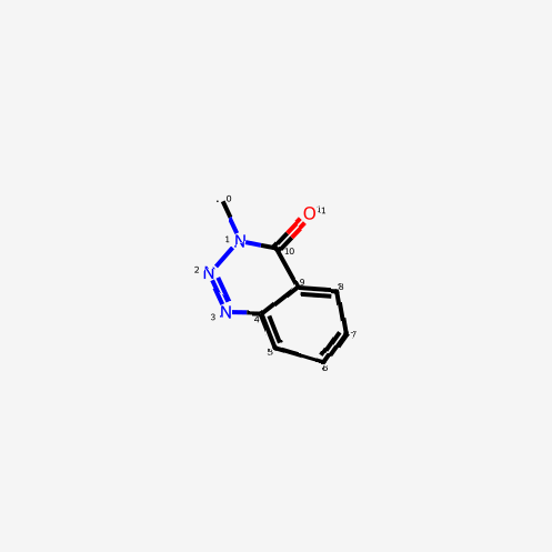 [CH2]n1nnc2ccccc2c1=O